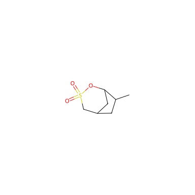 CC1CC2CC1OS(=O)(=O)C2